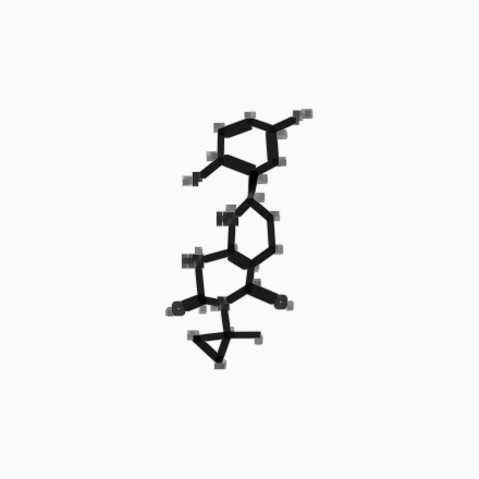 CC1(n2c(=O)[nH]c3c(c2=O)CC[C@H](c2cc(F)ccc2F)N3)CC1